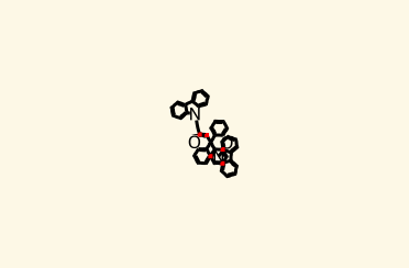 c1ccc2c(c1)Oc1ccccc1C21c2ccc(-n3c4ccccc4c4ccccc43)cc2Oc2cccc(-n3c4ccccc4c4ccccc43)c21